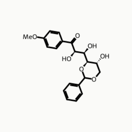 COc1ccc(C(=O)[C@H](O)[C@@H](O)[C@@H]2OC(c3ccccc3)OC[C@H]2O)cc1